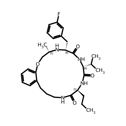 CCC[C@@H]1NC(=O)[C@@H](C(C)C)NC(=O)[C@@H](Cc2cccc(F)c2)N[C@@H](C)COc2ccccc2CCCNC1=O